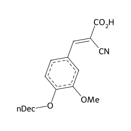 CCCCCCCCCCOc1ccc(/C=C(\C#N)C(=O)O)cc1OC